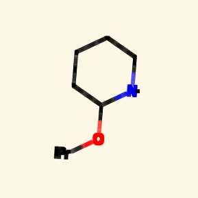 CC(C)OC1CCCC[N]1